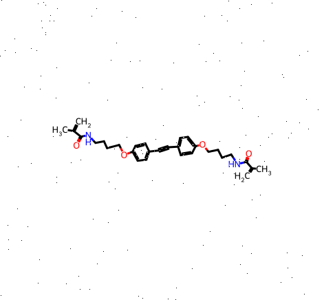 C=C(C)C(=O)NCCCCOc1ccc(C#Cc2ccc(OCCCCNC(=O)C(=C)C)cc2)cc1